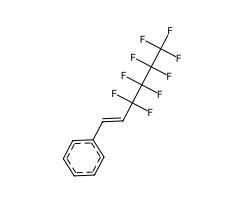 FC(F)(F)C(F)(F)C(F)(F)C(F)(F)/C=C/c1ccccc1